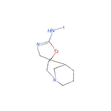 INC1=NCC2(CN3CCCC2C3)O1